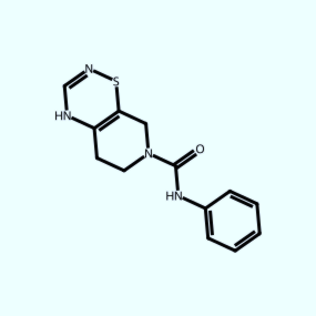 O=C(Nc1ccccc1)N1CCC2=C(C1)SN=CN2